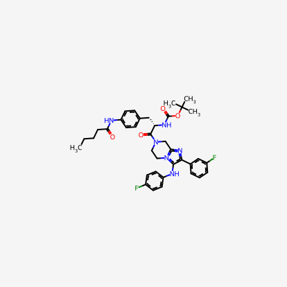 CCCCC(=O)Nc1ccc(C[C@H](NC(=O)OC(C)(C)C)C(=O)N2CCn3c(nc(-c4cccc(F)c4)c3Nc3ccc(F)cc3)C2)cc1